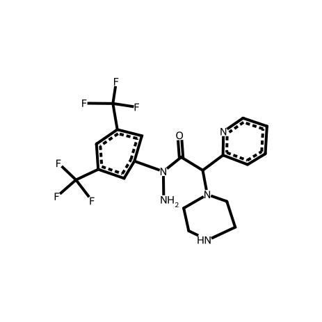 NN(C(=O)C(c1ccccn1)N1CCNCC1)c1cc(C(F)(F)F)cc(C(F)(F)F)c1